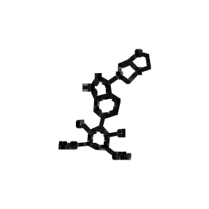 COc1cc(OC)c(Cl)c(-c2ccc3c(N4C=C5OCCN5C4)n[nH]c3c2)c1Cl